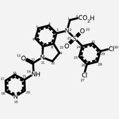 O=C(O)CN(c1cccc2c1CCN2C(=O)Nc1cccnc1)S(=O)(=O)c1cc(Cl)cc(Cl)c1